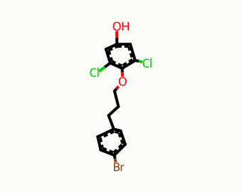 Oc1cc(Cl)c(OCCCc2ccc(Br)cc2)c(Cl)c1